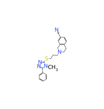 Cn1c(SCCCN2CCc3ccc(C#N)cc3C2)nnc1-c1ccccc1